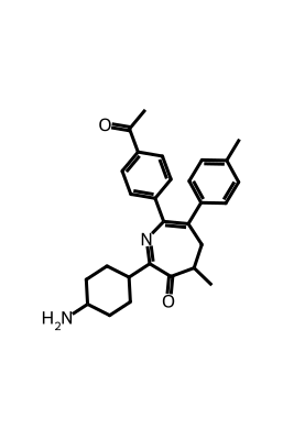 CC(=O)c1ccc(C2=C(c3ccc(C)cc3)CC(C)C(=O)C(C3CCC(N)CC3)=N2)cc1